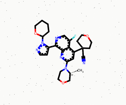 C[C@@H]1COCCN1c1cc(C2(C#N)CCOCC2)c2c(F)cnc(-c3ccnn3C3CCCCO3)c2n1